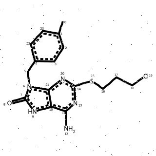 Cc1ccc(Cn2c(=O)[nH]c3c(N)nc(SCCCCl)nc32)cc1